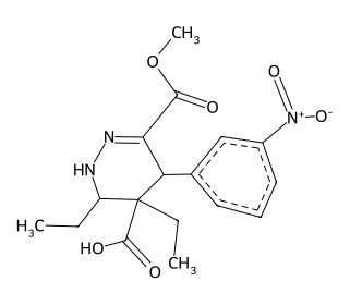 CCC1NN=C(C(=O)OC)C(c2cccc([N+](=O)[O-])c2)C1(CC)C(=O)O